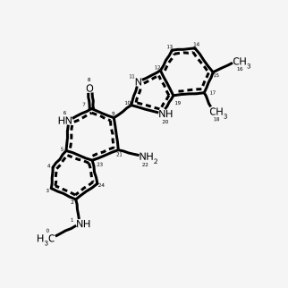 CNc1ccc2[nH]c(=O)c(-c3nc4ccc(C)c(C)c4[nH]3)c(N)c2c1